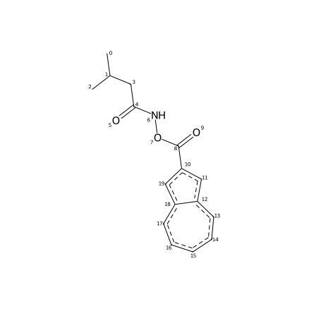 CC(C)CC(=O)NOC(=O)c1cc2cccccc-2c1